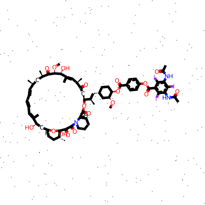 CO[C@@H]1C[C@H](C[C@@H](C)[C@@H]2CC(=O)[C@H](C)/C=C(\C)[C@@H](O)[C@@H](OC)C(=O)[C@H](C)C[C@H](C)/C=C/C=C/C=C(\C)[C@@H](O)C[C@@H]3CC[C@@H](C)[C@@](O)(O3)C(=O)C(=O)N3CCCC[C@H]3C(=O)O2)CC[C@H]1OC(=O)c1ccc(OC(=O)c2c(I)c(NC(C)=O)c(I)c(NC(C)=O)c2I)cc1